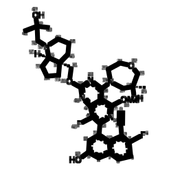 C#Cc1c(F)ccc2cc(O)cc(-c3nc(OC)c4c(N5CCOC[C@@](C)(O)C5)nc(OC[C@]56CCC[C@H]5N(CC(C)(C)O)CCC6)nc4c3F)c12